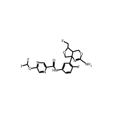 NC1=NC2(c3cc(NC(=O)c4cnc(OC(F)F)cn4)ccc3F)COC(CF)C2CO1